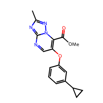 COC(=O)c1c(Oc2cccc(C3CC3)c2)cnc2nc(C)nn12